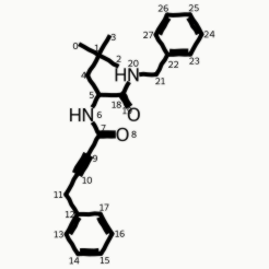 CC(C)(C)CC(NC(=O)C#CCc1ccccc1)C(=O)NCc1ccccc1